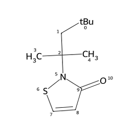 CC(C)(C)CC(C)(C)n1sccc1=O